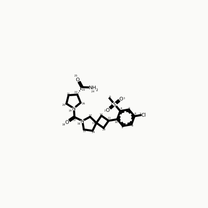 CS(=O)(=O)c1cc(Cl)ccc1C1CC2(CCN(C(=O)N3CC[C@H](C(N)=O)C3)C2)C1